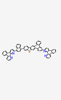 c1ccc2c(-c3ccc4c5ccccc5c5cccnc5c4n3)ccc(-c3ccc4c(c3)sc3cc5c6ccc(-c7ccc8c9ccccc9c9cccnc9c8n7)cc6c6ccccc6c5cc34)c2c1